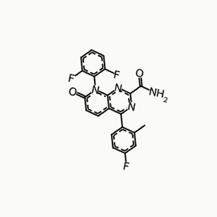 Cc1cc(F)ccc1-c1nc(C(N)=O)nc2c1ccc(=O)n2-c1c(F)cccc1F